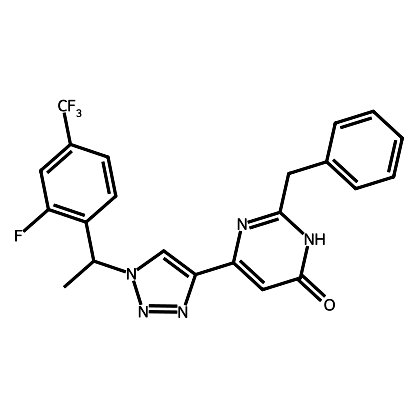 CC(c1ccc(C(F)(F)F)cc1F)n1cc(-c2cc(=O)[nH]c(Cc3ccccc3)n2)nn1